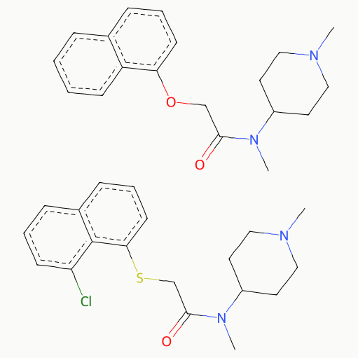 CN1CCC(N(C)C(=O)COc2cccc3ccccc23)CC1.CN1CCC(N(C)C(=O)CSc2cccc3cccc(Cl)c23)CC1